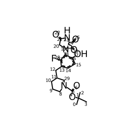 CC(C)(C)OC(=O)N1CCCC(Cc2ccc(O)c(N3CC(=O)NS3(=O)=O)c2F)C1